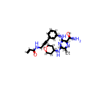 C=CC(=O)NCC#Cc1cccc(Nc2nc(NC3CCOCC3)c(CC)nc2C(N)=O)c1